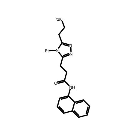 CCn1c(CCC(=O)Nc2cccc3ccccc23)nnc1CCC(C)(C)C